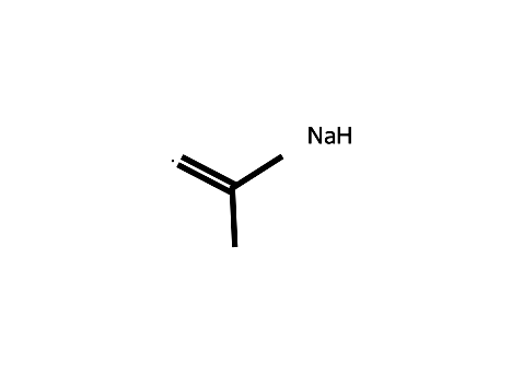 [CH]=C(C)C.[NaH]